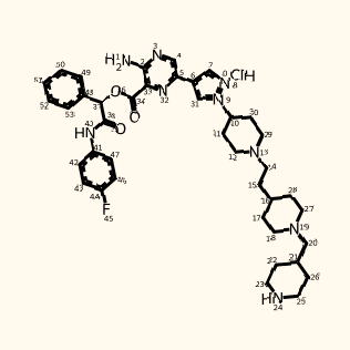 Cl.Nc1ncc(-c2cnn(C3CCN(CCC4CCN(CC5CCNCC5)CC4)CC3)c2)nc1C(=O)O[C@@H](C(=O)Nc1ccc(F)cc1)c1ccccc1